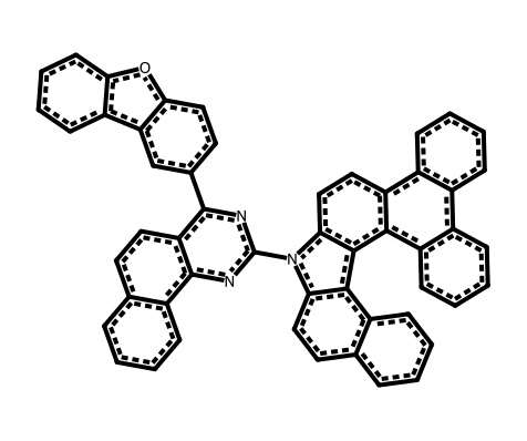 c1ccc2c(c1)ccc1c(-c3ccc4oc5ccccc5c4c3)nc(-n3c4ccc5ccccc5c4c4c5c6ccccc6c6ccccc6c5ccc43)nc12